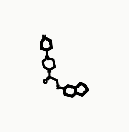 O=C(CSc1ccc2ccccc2c1)N1CCN(c2ccncc2)CC1